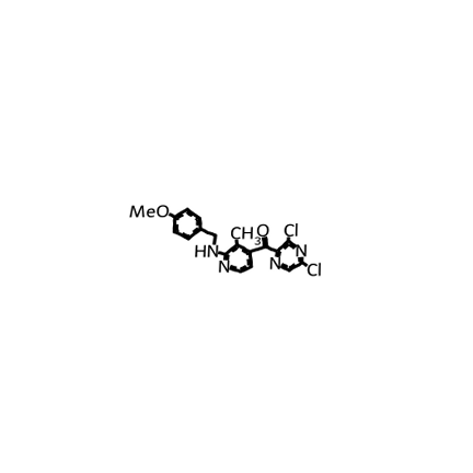 COc1ccc(CNc2nccc(C(=O)c3ncc(Cl)nc3Cl)c2C)cc1